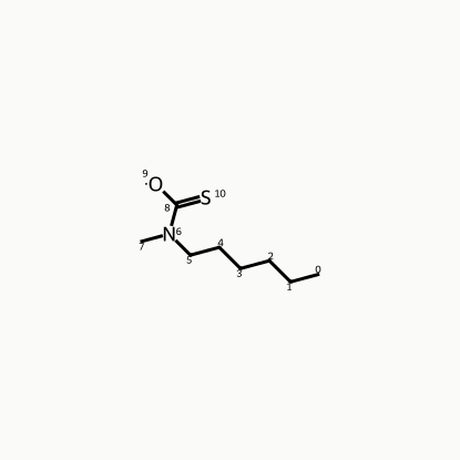 CCCCCCN(C)C([O])=S